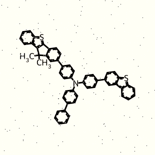 CC1(C)c2cc(-c3ccc(N(c4ccc(-c5ccccc5)cc4)c4ccc(-c5ccc6sc7ccccc7c6c5)cc4)cc3)ccc2-c2sc3ccccc3c21